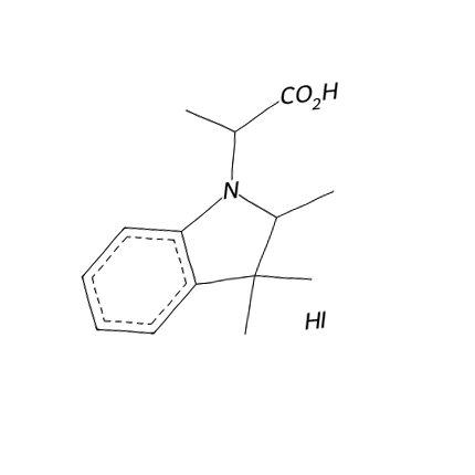 CC(C(=O)O)N1c2ccccc2C(C)(C)C1C.I